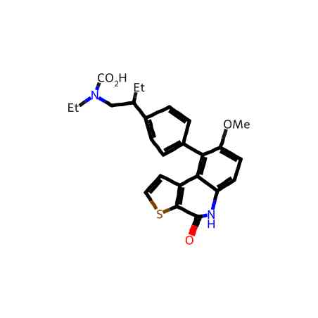 CCC(CN(CC)C(=O)O)c1ccc(-c2c(OC)ccc3[nH]c(=O)c4sccc4c23)cc1